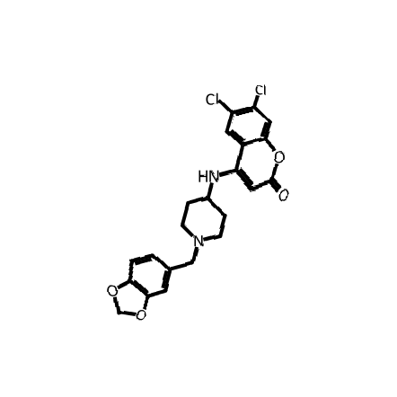 O=c1cc(NC2CCN(Cc3ccc4c(c3)OCO4)CC2)c2cc(Cl)c(Cl)cc2o1